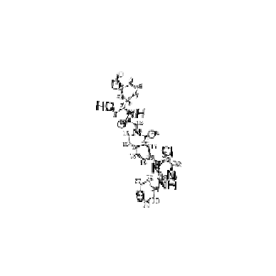 COc1cccc(C(CO)NC(=O)CN2CCc3ccc(-c4nc(NC5CCOCC5)ncc4Cl)cc3C2=O)c1